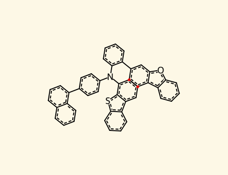 c1ccc(N(c2ccc(-c3cccc4ccccc34)cc2)c2cccc3c2sc2ccccc23)c(-c2ccc3c(c2)oc2ccccc23)c1